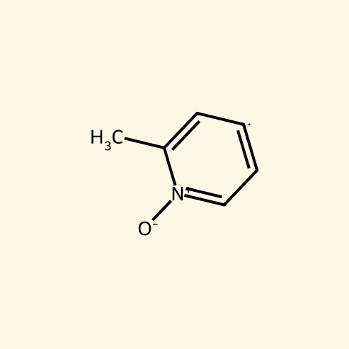 Cc1c[c]cc[n+]1[O-]